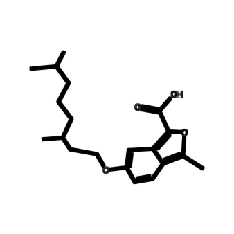 Cc1oc(C(=O)O)c2cc(OCCC(C)CCCC(C)C)ccc12